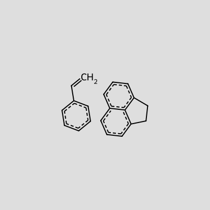 C=Cc1ccccc1.c1cc2c3c(cccc3c1)CC2